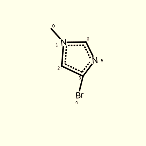 Cn1[c]c(Br)nc1